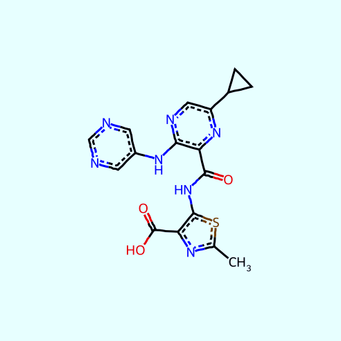 Cc1nc(C(=O)O)c(NC(=O)c2nc(C3CC3)cnc2Nc2cncnc2)s1